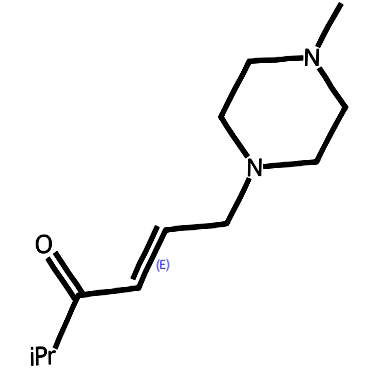 CC(C)C(=O)/C=C/CN1CCN(C)CC1